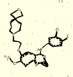 COc1cc2ncnc(Nc3ccc(F)c(Cl)c3)c2cc1OCCN1CCC2(CC1)COC2